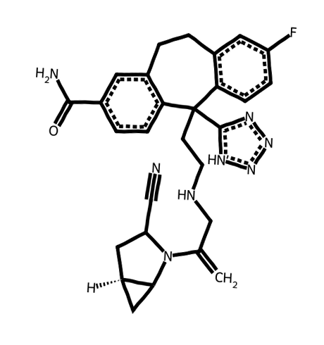 C=C(CNCCC1(c2nnn[nH]2)c2ccc(F)cc2CCc2cc(C(N)=O)ccc21)N1C(C#N)C[C@@H]2CC21